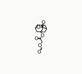 O=COCC(=O)OC12CC3CC(C1)OC(=O)C(C3)C2